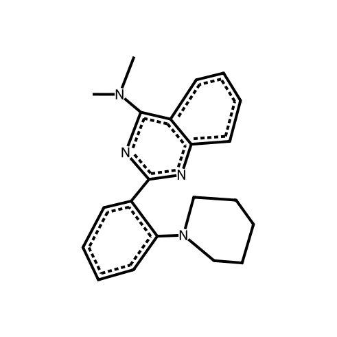 CN(C)c1nc(-c2ccccc2N2CCCCC2)nc2ccccc12